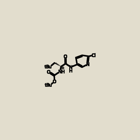 CC(C)(C)C[C@@H](NC(=O)OC(C)(C)C)C(=O)Nc1ccc(Cl)nc1